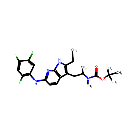 CCc1[nH]c2nc(Nc3cc(F)c(F)cc3F)ccc2c1CC(C)N(C)C(=O)OC(C)(C)C